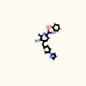 CC1=C(C#N)C(Cc2ccc(-n3cccn3)cc2)=CCC(C(=O)N[C@H]2CCCC[C@@H]2O)=N1